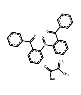 C=C(C)C(=O)OC.O=C(c1ccccc1)c1ccccc1[P](=O)c1ccccc1C(=O)c1ccccc1